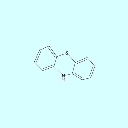 [c]1ccc2c(c1)Nc1c[c]ccc1S2